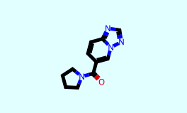 O=C(c1ccc2ncnn2c1)N1CCCC1